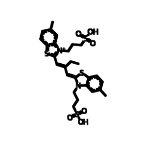 CCC(=Cc1sc2ccc(C)cc2[n+]1CCCS(=O)(=O)O)/C=C1\Sc2ccc(C)cc2N1CCCS(=O)(=O)O